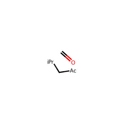 C=O.CC(=O)CC(C)C